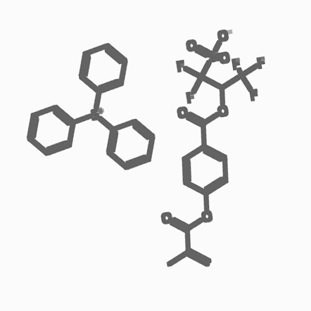 C=C(C)C(=O)Oc1ccc(C(=O)OC(C(F)(F)F)C(F)(F)S(=O)(=O)[O-])cc1.c1ccc([S+](c2ccccc2)c2ccccc2)cc1